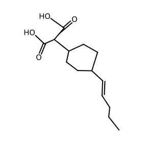 CCCC=CC1CCC(C(C(=O)O)C(=O)O)CC1